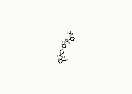 N#Cc1cccnc1NC(=O)N1CCN(c2ccc(NC(=O)Nc3ccccc3OC(F)(F)F)cc2)CC1